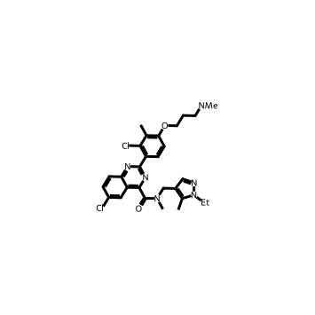 CCn1ncc(CN(C)C(=O)c2nc(-c3ccc(OCCCNC)c(C)c3Cl)nc3ccc(Cl)cc23)c1C